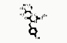 CCCC[C@H](C)[C@H](CC(=O)O)OC(=O)[C@H](Cc1ccc(C#N)cc1)NC(=O)OC(C)(C)C